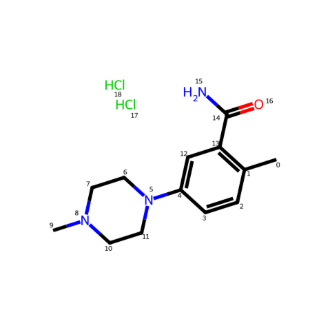 Cc1ccc(N2CCN(C)CC2)cc1C(N)=O.Cl.Cl